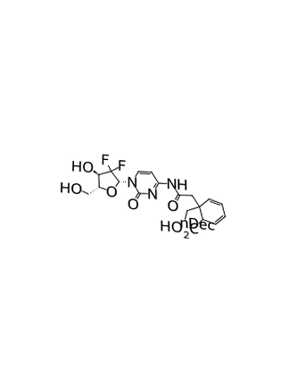 CCCCCCCCCCCC1(CC(=O)Nc2ccn([C@@H]3O[C@H](CO)[C@@H](O)C3(F)F)c(=O)n2)C=CC=CC1C(=O)O